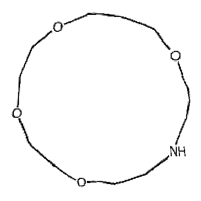 C1COCCNCCOCCOCCOC1